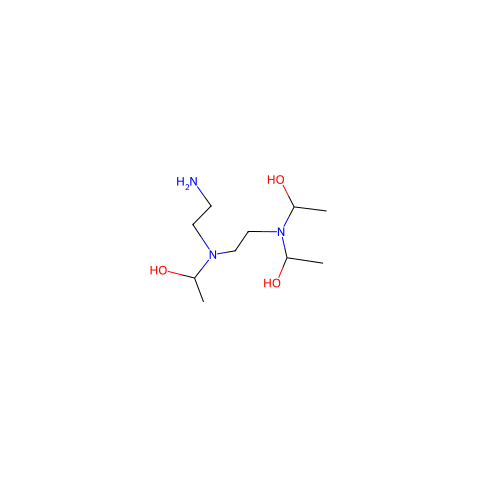 CC(O)N(CCN)CCN(C(C)O)C(C)O